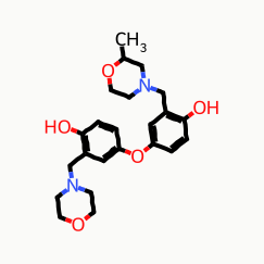 CC1CN(Cc2cc(Oc3ccc(O)c(CN4CCOCC4)c3)ccc2O)CCO1